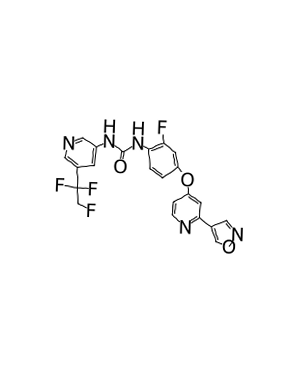 O=C(Nc1cncc(C(F)(F)CF)c1)Nc1ccc(Oc2ccnc(-c3cnoc3)c2)cc1F